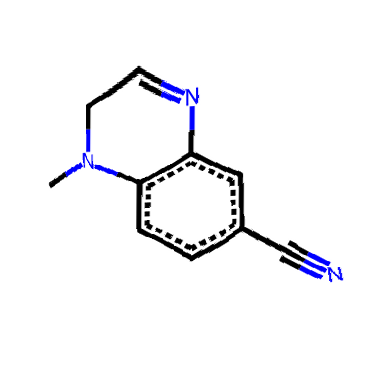 CN1CC=Nc2cc(C#N)ccc21